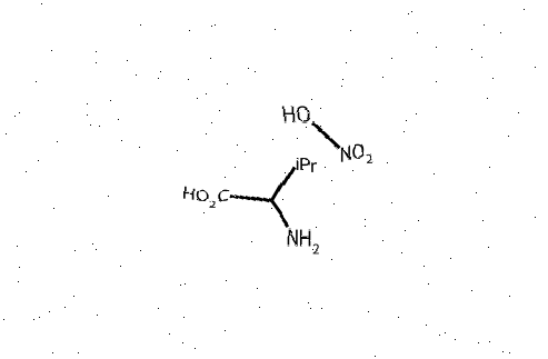 CC(C)C(N)C(=O)O.O=[N+]([O-])O